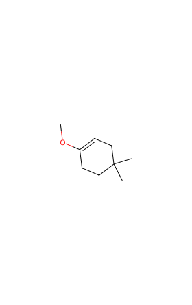 COC1=CCC(C)(C)CC1